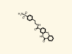 NS(=O)(=O)c1ccc(CCNC(=O)c2ccc3c(c2)NC(=O)c2ccccc2S3)cc1